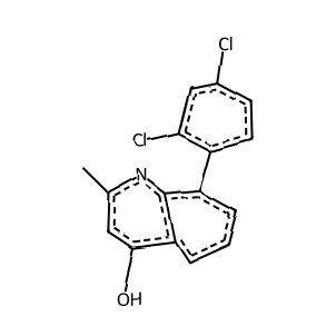 Cc1cc(O)c2cccc(-c3ccc(Cl)cc3Cl)c2n1